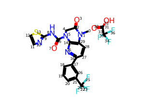 CN1C(=O)CN(C(=O)Nc2nccs2)c2nc(-c3cccc(C(F)(F)F)c3)ccc21.O=C(O)C(F)(F)F